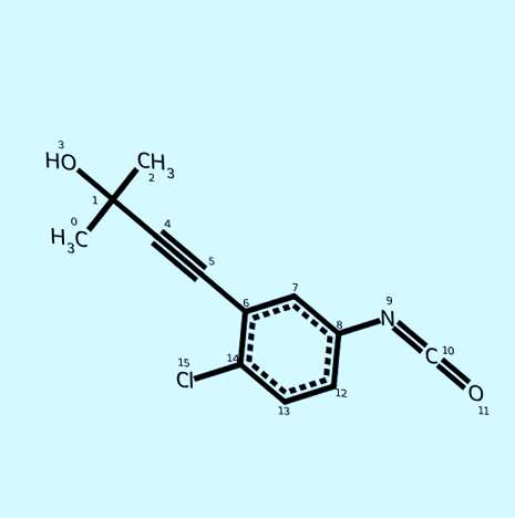 CC(C)(O)C#Cc1cc(N=C=O)ccc1Cl